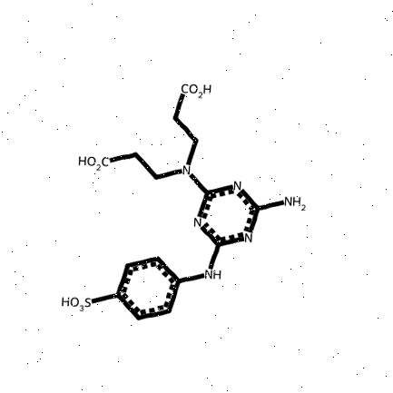 Nc1nc(Nc2ccc(S(=O)(=O)O)cc2)nc(N(CCC(=O)O)CCC(=O)O)n1